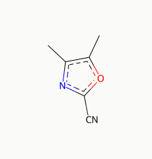 Cc1nc(C#N)oc1C